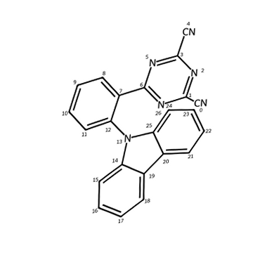 N#Cc1nc(C#N)nc(-c2ccccc2-n2c3ccccc3c3ccccc32)n1